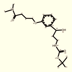 CN(C)C(=O)CCCOc1cccc(C(O)CCNC(=O)OC(C)(C)C)c1